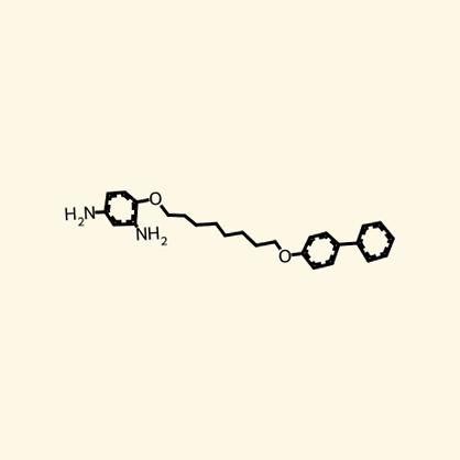 Nc1ccc(OCCCCCCCCOc2ccc(-c3ccccc3)cc2)c(N)c1